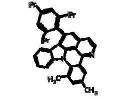 Cc1cc(C)c2c(c1)c1nccc3cc(-c4c(C(C)C)cc(C(C)C)cc4C(C)C)c4c5ccccc5n2c4c31